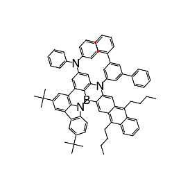 CCCCc1c2ccccc2c(CCCC)c2cc3c(cc12)B1c2c(cc(N(c4ccccc4)c4ccccc4)cc2N3c2cc(-c3ccccc3)cc(-c3ccccc3)c2)-c2cc(C(C)(C)C)cc3c4cc(C(C)(C)C)ccc4n1c23